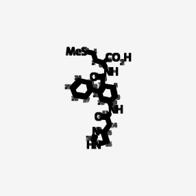 CSCC[C@H](NC(=O)c1ccc(NC(=O)Cc2c[nH]cn2)cc1-c1ccccc1)C(=O)O